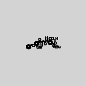 CC(C)(C)OC(=O)[C@@H]1CC[C@H](NC(=O)CNC(=O)c2ccc(OCc3ccccc3)c(C(C)(C)C)c2)[C@H](C(=O)O)C1